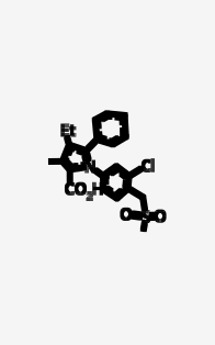 CCc1c(C)c(C(=O)O)n(-c2ccc(CS(C)(=O)=O)c(Cl)c2)c1-c1ccccc1